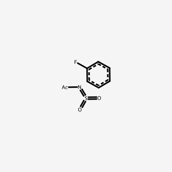 CC(=O)N=S(=O)=O.Fc1ccccc1